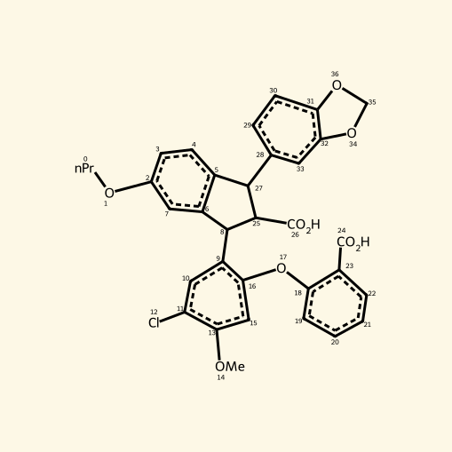 CCCOc1ccc2c(c1)C(c1cc(Cl)c(OC)cc1Oc1ccccc1C(=O)O)C(C(=O)O)C2c1ccc2c(c1)OCO2